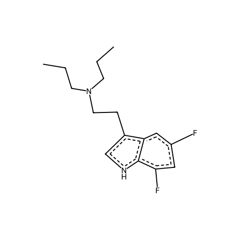 CCCN(CCC)CCc1c[nH]c2c(F)cc(F)cc12